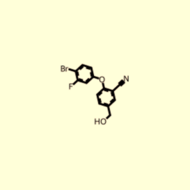 N#Cc1cc(CO)ccc1Oc1ccc(Br)c(F)c1